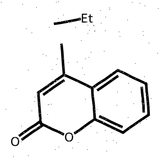 CCC.Cc1cc(=O)oc2ccccc12